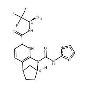 C[C@@H](NC(=O)C1C=CC2=C(N1)N(C(=O)Nc1ncco1)[C@H]1CCN2C1)C(F)(F)F